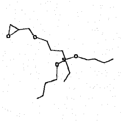 CCCCO[Si](CC)(CCCOCC1CO1)OCCCC